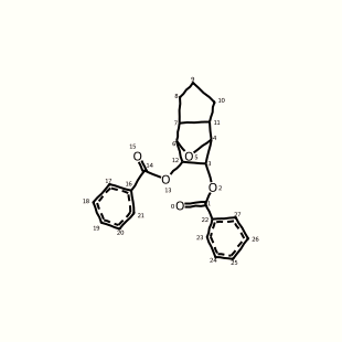 O=C(OC1C2OC(C3CCCC32)C1OC(=O)c1ccccc1)c1ccccc1